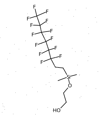 C[Si](C)(CCC(F)(F)C(F)(F)C(F)(F)C(F)(F)C(F)(F)C(F)(F)F)OCCO